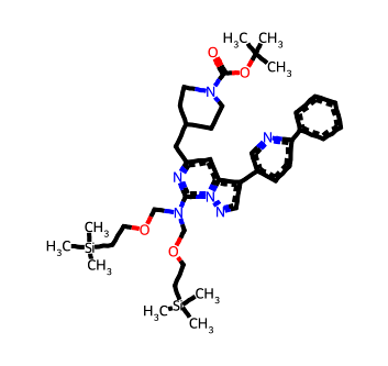 CC(C)(C)OC(=O)N1CCC(Cc2cc3c(-c4ccc(-c5ccccc5)nc4)cnn3c(N(COCC[Si](C)(C)C)COCC[Si](C)(C)C)n2)CC1